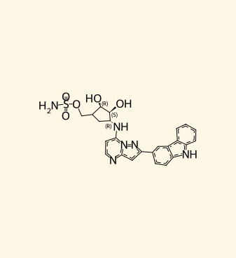 NS(=O)(=O)OCC1C[C@@H](Nc2ccnc3cc(-c4ccc5[nH]c6ccccc6c5c4)nn23)[C@H](O)[C@@H]1O